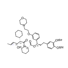 C/C=C/[C@@H](O)[C@@H](C(=O)N1CCCC[C@H]1C(=O)O[C@H](CCc1ccc(OC)c(OC)c1)c1cccc(OCCN2CCOCC2)c1)C1CCCCC1